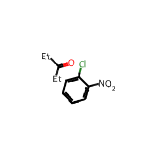 CCC(=O)CC.O=[N+]([O-])c1ccccc1Cl